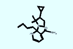 CCCCC1(N2CCC(C3CC3)C2(C)C)NC=CC=C1C(N)=O